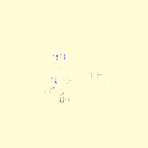 C=CCC1CCCn2nc3c(c2C1)C(=O)N(C(=O)OC(C)(C)C)CC3